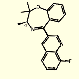 C[C@@H]1N=C(c2cnc3c(F)cccc3c2)c2ccccc2OC1(C)C